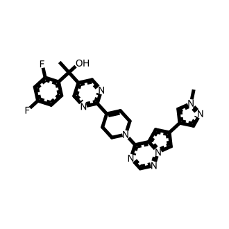 Cn1cc(-c2cc3c(N4CC=C(c5ncc(C(C)(O)c6ccc(F)cc6F)cn5)CC4)ncnn3c2)cn1